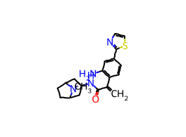 C=C(C(=O)NC1CC2CCC(C1)N2C)c1ccc(-c2nccs2)cc1N